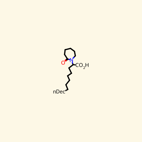 CCCCCCCCCCCCCCCCC(C(=O)O)N1CCCCCC1=O